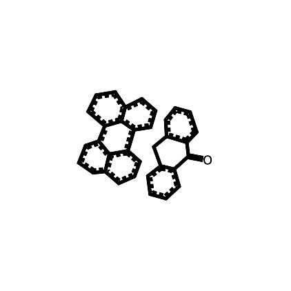 O=C1c2ccccc2Cc2ccccc21.c1cc2cccc3c4cccc5cccc(c(c1)c23)c54